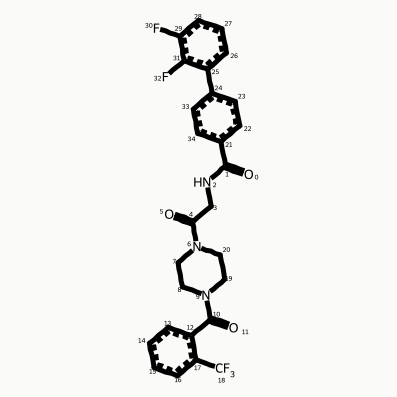 O=C(NCC(=O)N1CCN(C(=O)c2ccccc2C(F)(F)F)CC1)c1ccc(-c2cccc(F)c2F)cc1